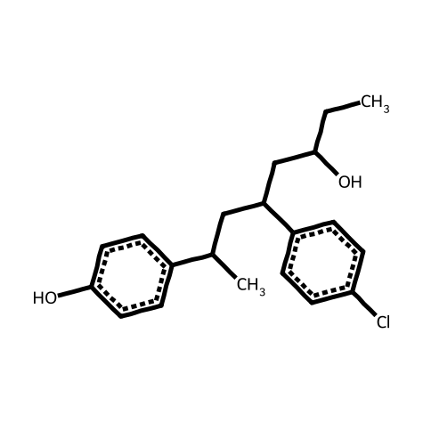 CCC(O)CC(CC(C)c1ccc(O)cc1)c1ccc(Cl)cc1